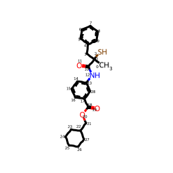 CC(S)(Cc1ccccc1)C(=O)Nc1cccc(C(=O)OCC2CCCCC2)c1